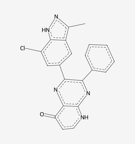 Cc1n[nH]c2c(Cl)cc(-c3nc4c(=O)cc[nH]c4nc3-c3ccccc3)cc12